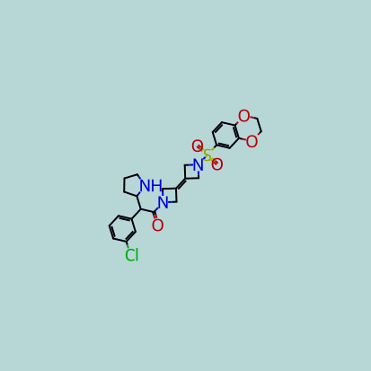 O=C(C(c1cccc(Cl)c1)C1CCCN1)N1CC(=C2CN(S(=O)(=O)c3ccc4c(c3)OCCO4)C2)C1